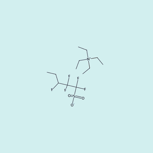 CCC(F)C(F)(F)C(F)(F)S(=O)(=O)[O-].CC[N+](CC)(CC)CC